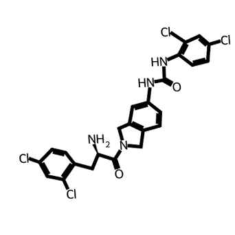 N[C@H](Cc1ccc(Cl)cc1Cl)C(=O)N1Cc2ccc(NC(=O)Nc3ccc(Cl)cc3Cl)cc2C1